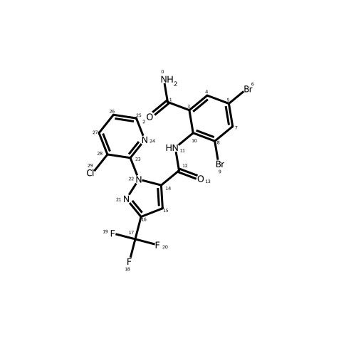 NC(=O)c1cc(Br)cc(Br)c1NC(=O)c1cc(C(F)(F)F)nn1-c1ncccc1Cl